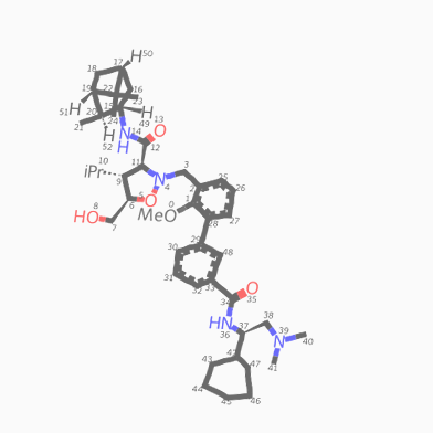 COc1c(CN2O[C@@H](CO)[C@H](C(C)C)[C@H]2C(=O)N[C@H]2C[C@H]3C[C@@H]([C@@H]2C)C3(C)C)cccc1-c1cccc(C(=O)N[C@@H](CN(C)C)C2CCCCC2)c1